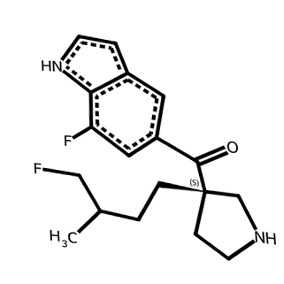 CC(CF)CC[C@]1(C(=O)c2cc(F)c3[nH]ccc3c2)CCNC1